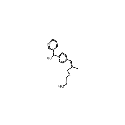 CC(=Cc1ccc(C(O)c2cccnc2)cc1)COCCO